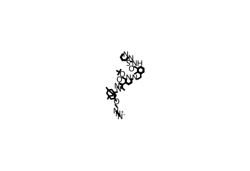 Cc1c(-c2ccc(N3CCc4cccc(C(=O)Nc5nc6ncccc6s5)c4C3)nc2C(=O)OC(C)(C)C)cnn1CC12CC3(C)CC(C)(C1)CC(OCCN=[N+]=[N-])(C3)C2